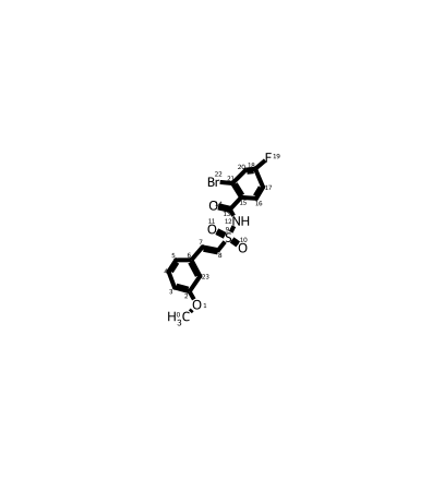 COc1cccc(C=CS(=O)(=O)NC(=O)c2ccc(F)cc2Br)c1